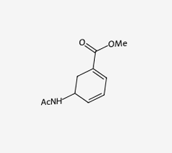 COC(=O)C1=CC=CC(NC(C)=O)C1